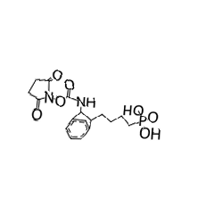 O=C(NC1c2cccc(c2)C1CCCCP(=O)(O)O)ON1C(=O)CCC1=O